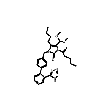 CCCCC(=O)n1c(C(OC)OC)c(CCCC)n(Cc2ccc(-c3ccccc3-c3nnn[nH]3)cc2)c1=O